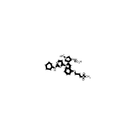 CCCN1CC[C@@H](NC(=O)O)C1.CS(=O)(=O)CCCOc1cccc2c1ccn2-c1ccnc(NC2CCCCC2)n1